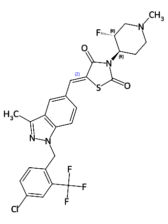 Cc1nn(Cc2ccc(Cl)cc2C(F)(F)F)c2ccc(/C=C3\SC(=O)N([C@@H]4CCN(C)C[C@H]4F)C3=O)cc12